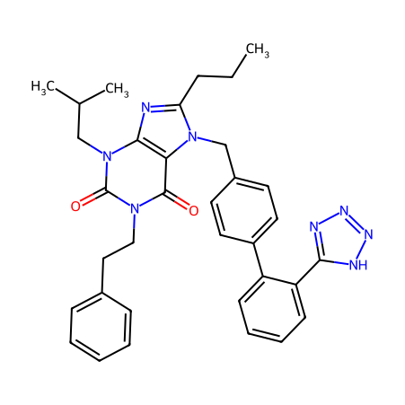 CCCc1nc2c(c(=O)n(CCc3ccccc3)c(=O)n2CC(C)C)n1Cc1ccc(-c2ccccc2-c2nnn[nH]2)cc1